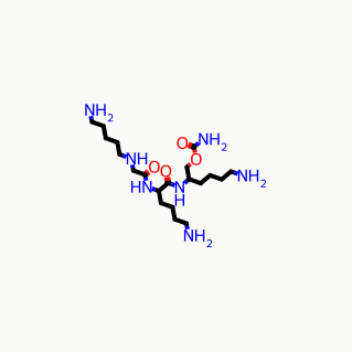 NCCCCCNCC(=O)NC(CCCCN)C(=O)NC(CCCCN)COC(N)=O